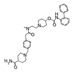 CN(CCN1CCC(OC(=O)Nc2ccccc2-c2ccccc2)CC1)C(=O)Cc1ccc(CN2CCC(C(N)=O)CC2)cc1